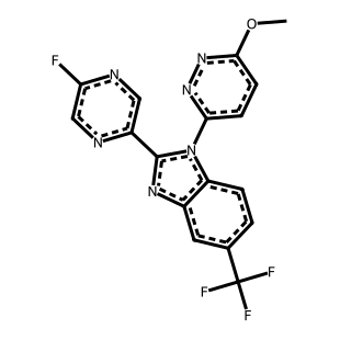 COc1ccc(-n2c(-c3cnc(F)cn3)nc3cc(C(F)(F)F)ccc32)nn1